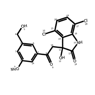 COc1cc(CO)cc(C(=O)CC2(O)C(=O)Nc3c(Cl)ccc(Cl)c32)c1